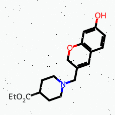 CCOC(=O)C1CCN(CC2=Cc3ccc(O)cc3OC2)CC1